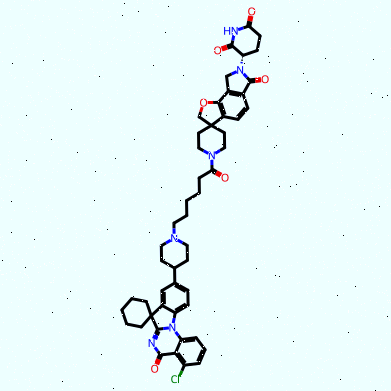 O=C1CC[C@H](N2Cc3c(ccc4c3OCC43CCN(C(=O)CCCCCN4CCC(c5ccc6c(c5)C5(CCCCC5)c5nc(=O)c7c(Cl)cccc7n5-6)CC4)CC3)C2=O)C(=O)N1